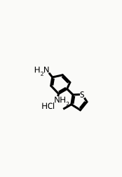 Cc1ccsc1-c1ccc(N)cc1N.Cl